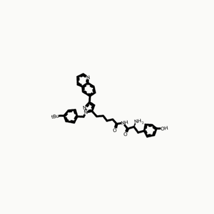 CC(C)(C)c1ccc(Cn2nc(-c3ccc4ncccc4c3)cc2CCCCC(=O)NC(=O)[C@@H](N)Cc2ccc(O)cc2)cc1